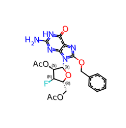 CC(=O)OC[C@H]1O[C@@H](n2c(OCc3ccccc3)nc3c(=O)[nH]c(N)nc32)[C@H](OC(C)=O)[C@@H]1F